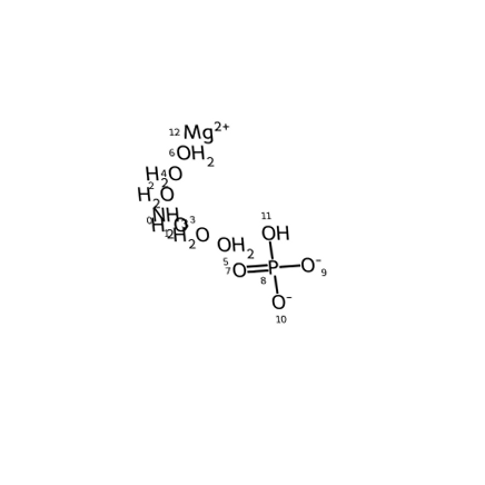 N.O.O.O.O.O.O.O=P([O-])([O-])O.[Mg+2]